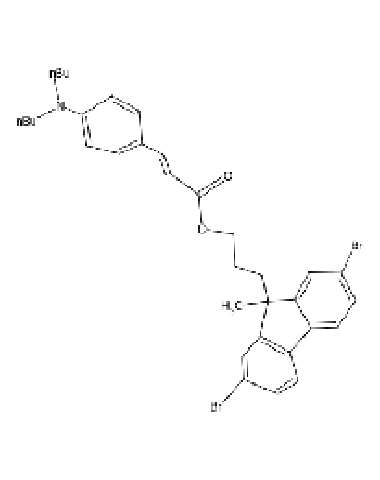 CCCCN(CCCC)c1ccc(C=CC(=O)OCCCC2(C)c3cc(Br)ccc3-c3ccc(Br)cc32)cc1